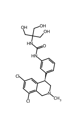 CN1Cc2c(Cl)cc(Cl)cc2[C@@H](c2cccc(NC(=O)NC(CO)(CO)CO)c2)C1